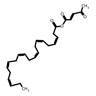 CC/C=C\C/C=C\C/C=C\C/C=C\C/C=C\C/C=C\CC(=O)OC(=O)/C=C/C(C)=O